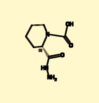 NNC(=O)[C@@H]1CCCCN1C(=O)O